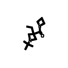 CCC1(C(=O)N2CCC2)CN(C(C)(C)C)C1